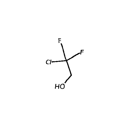 OCC(F)(F)Cl